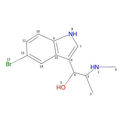 CNC(C)C(O)c1c[nH]c2ccc(Br)cc12